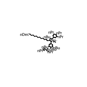 CCCCCCCCCCCCCCCCCCCCC=CC1=C(c2cc(CCCC)c(CCCC)c(CCCC)c2)[N+](=[N-])C(c2cc(CCC)c(CCC)c(CCC)c2)=C1CCCC.CCC[O][Pd][O]CCC